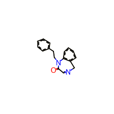 O=C1C=NCc2ccccc2N1CCc1ccccc1